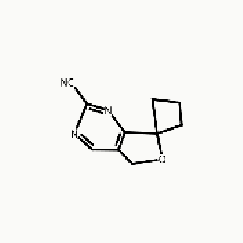 N#Cc1ncc2c(n1)C1(CCC1)OC2